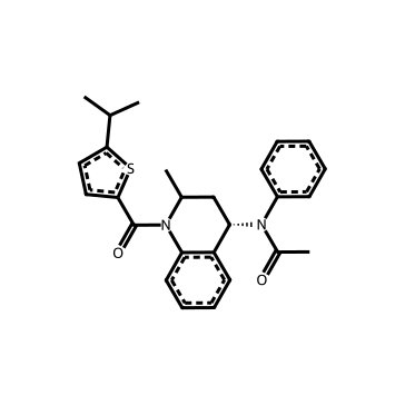 CC(=O)N(c1ccccc1)[C@H]1CC(C)N(C(=O)c2ccc(C(C)C)s2)c2ccccc21